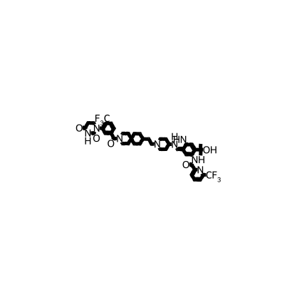 CC(C)(O)C1=CC(=N)/C(=C\NC2CCN(CCC3CCC4(CC3)CCN(C(=O)c3ccc(C(F)(F)F)c(N5CCC(=O)NC5=O)c3)CC4)CC2)C=C1NC(=O)c1cccc(C(F)(F)F)n1